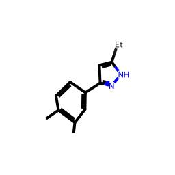 CCc1cc(-c2ccc(C)c(C)c2)n[nH]1